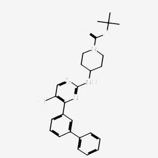 CC(C)(C)OC(=O)N1CCC(Nc2ncc(Cl)c(-c3cccc(-c4ccccc4)c3)n2)CC1